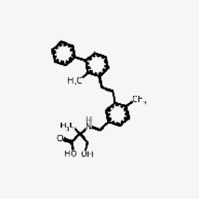 Cc1ccc(CNC(C)(CO)C(=O)O)cc1CCc1cccc(-c2ccccc2)c1C